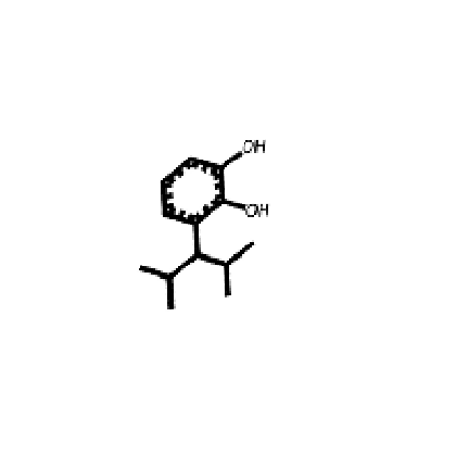 CC(C)C(c1cccc(O)c1O)C(C)C